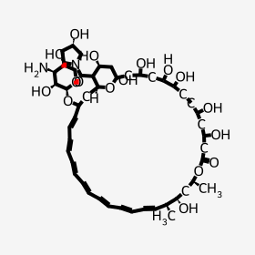 C[C@H]1C[C@H](O)[C@@H](C)/C=C/C=C/C=C/C=C/C=C/C=C/C=C/C(O[C@@H]2OC[C@@H](O)[C@H](N)[C@@H]2O)C[C@@H]2OC(O)(CC(O)CC(O)C(O)CCC(O)CC(O)CC(=O)O1)C[C@H](O)C2C(=O)N1CC[C@H](O)C1